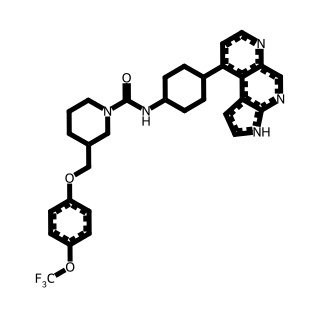 O=C(NC1CCC(c2ccnc3cnc4[nH]ccc4c23)CC1)N1CCCC(COc2ccc(OC(F)(F)F)cc2)C1